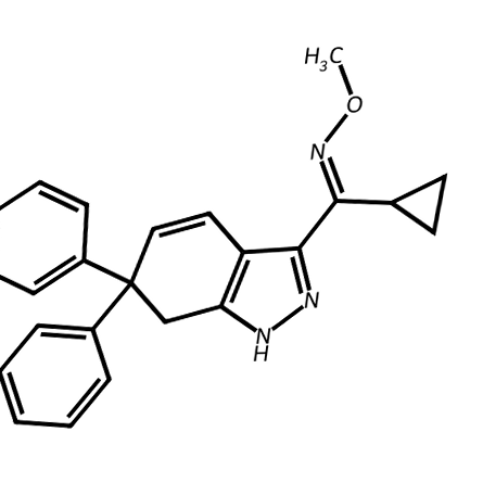 CON=C(c1n[nH]c2c1C=CC(c1ccccc1)(c1ccncc1)C2)C1CC1